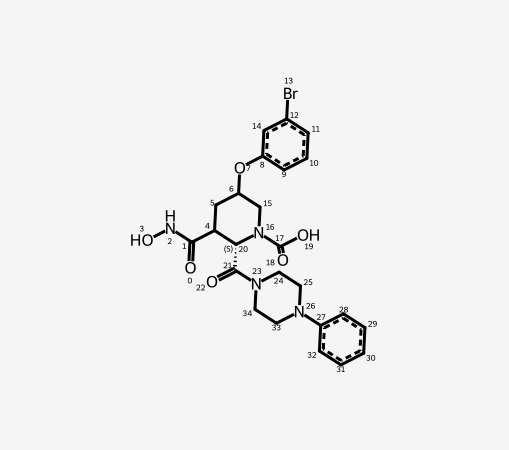 O=C(NO)C1CC(Oc2cccc(Br)c2)CN(C(=O)O)[C@@H]1C(=O)N1CCN(c2ccccc2)CC1